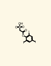 O=C(CS(=O)(=O)O)Oc1c(I)cc(I)cc1I